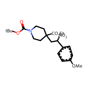 CCOC(=O)C1(CC(c2ccc(OC)cc2)[N+](=O)[O-])CCN(C(=O)OC(C)(C)C)CC1